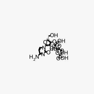 Nc1ccn([C@@H]2O[C@H](CO)[C@@H](OP(=O)(O)OP(=O)(O)OP(=O)(O)O)[C@H]2O)c(=O)n1